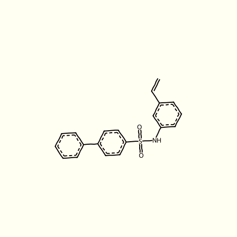 C=Cc1cccc(NS(=O)(=O)c2ccc(-c3ccccc3)cc2)c1